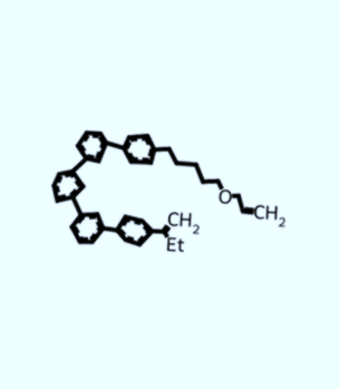 C=CCOCCCCCc1ccc(-c2cccc(-c3cccc(-c4cccc(-c5ccc(C(=C)CC)cc5)c4)c3)c2)cc1